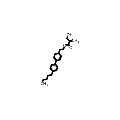 C=C(CO)C(=O)OCCC1C=CC(c2ccc(CCCCC)cc2)=CC1